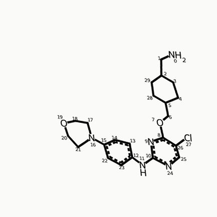 NCC1CCC(COc2nc(Nc3ccc(N4CCOCC4)cc3)ncc2Cl)CC1